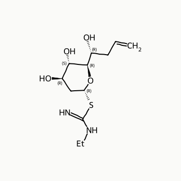 C=CC[C@@H](O)[C@H]1O[C@H](SC(=N)NCC)C[C@@H](O)[C@@H]1O